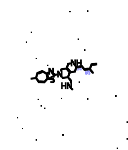 C=C/C(C)=C\C=C1/CC2=C(CN1)CN(c1nc3c(s1)C=CC(C)C=C3)CC2CNC